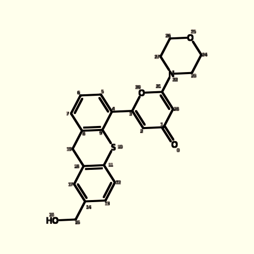 O=c1cc(-c2cccc3c2Sc2ccc(CO)cc2C3)oc(N2CCOCC2)c1